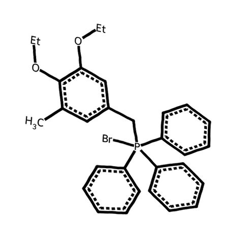 CCOc1cc(CP(Br)(c2ccccc2)(c2ccccc2)c2ccccc2)cc(C)c1OCC